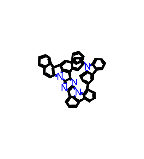 c1ccc(-n2c3ccccc3c3cc(-c4cccc5c6cccc7c8nc9c(nc8n(c45)c67)c4c5ccccc5cc5c6c7ccccc7ccc6n9c54)ccc32)cc1